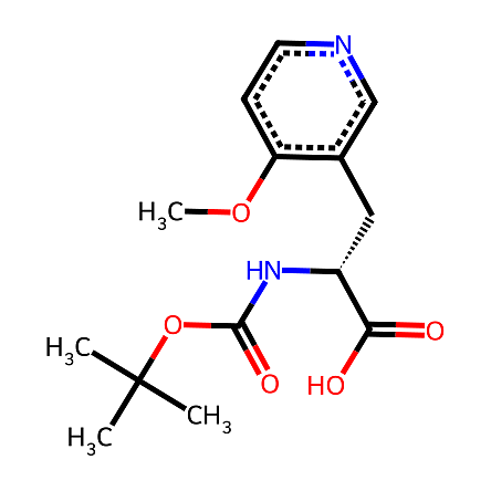 COc1ccncc1C[C@@H](NC(=O)OC(C)(C)C)C(=O)O